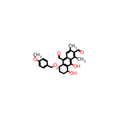 COc1ccc(CO[C@H]2CCC(O)c3c2c(C=O)c2cc(C)c(C=O)c(C)c2c3O)cc1